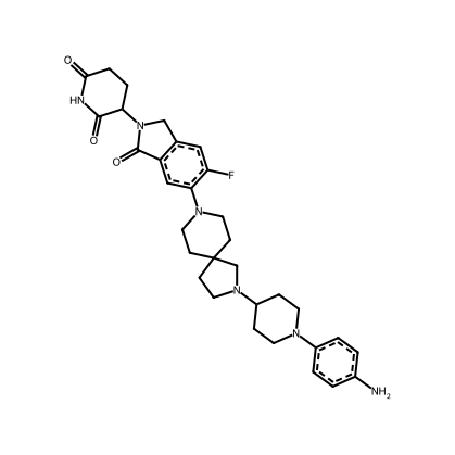 Nc1ccc(N2CCC(N3CCC4(CCN(c5cc6c(cc5F)CN(C5CCC(=O)NC5=O)C6=O)CC4)C3)CC2)cc1